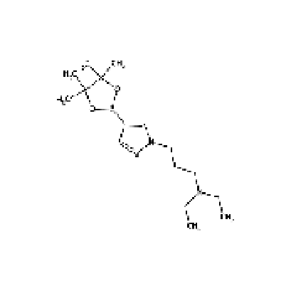 CCN(CC)CCCn1cc(B2OC(C)(C)C(C)(C)O2)cn1